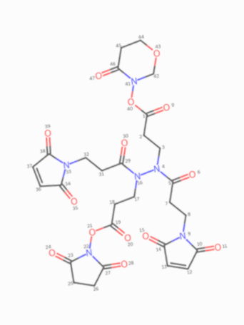 O=C(CCN(C(=O)CCN1C(=O)C=CC1=O)N(CCC(=O)ON1C(=O)CCC1=O)C(=O)CCN1C(=O)C=CC1=O)ON1COCCC1=O